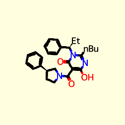 CCCCc1nc(O)c(C(=O)N2CC[C@@H](c3ccccc3)C2)c(=O)n1[C@@H](CC)c1ccccc1